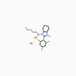 CCCCCC(Br)[n+]1c(-c2c(C)cc(C)cc2C)n(C)c2ccccc21.[Br-]